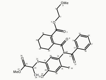 COCCOC(=O)C1=C(C(=O)N(C(=O)c2ccccc2)c2cc(SC(C)C(=O)OC)c(Cl)cc2F)CCCC1